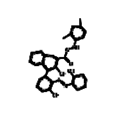 Cc1ccc(NOC(=O)c2cc3ccccc3c(-c3cccc(O)c3N=Nc3ccccc3O)c2O)c(C)c1